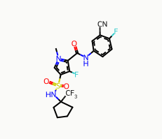 Cn1cc(S(=O)(=O)NC2(C(F)(F)F)CCCC2)c(F)c1C(=O)Nc1ccc(F)c(C#N)c1